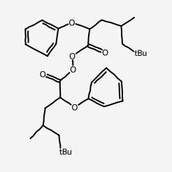 CC(CC(Oc1ccccc1)C(=O)OOC(=O)C(CC(C)CC(C)(C)C)Oc1ccccc1)CC(C)(C)C